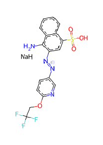 Nc1c(/N=N/c2ccc(OCC(F)(F)F)nc2)cc(S(=O)(=O)O)c2ccccc12.[NaH]